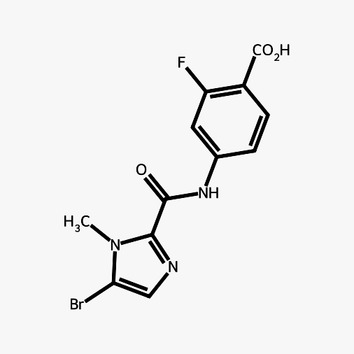 Cn1c(Br)cnc1C(=O)Nc1ccc(C(=O)O)c(F)c1